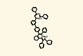 C1=CCC(C2=CC(c3cccc(-c4ccc(C5=C(c6ccccc6)N6NC(C7C=CC=CC7)C(c7ccccc7)=C6C6=C5CCCC6)cc4)c3)NC(C3C=CC=CC3)=N2)C=C1